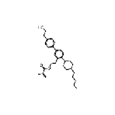 C=C(C)C(=O)OCCc1cc(-c2ccc(CCO)cc2)ccc1C1CCC(CCCCC)CC1